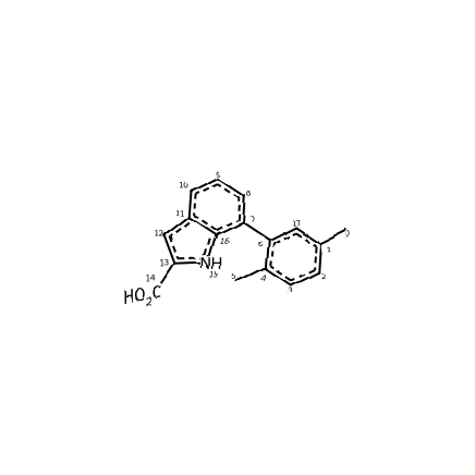 Cc1ccc(C)c(-c2cccc3cc(C(=O)O)[nH]c23)c1